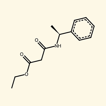 CCOC(=O)CC(=O)N[C@@H](C)c1ccccc1